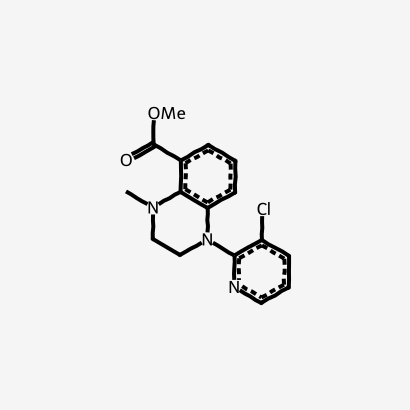 COC(=O)c1cccc2c1N(C)CCN2c1ncccc1Cl